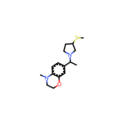 CSC1CCN(C(C)c2ccc3c(c2)OCCN3C)C1